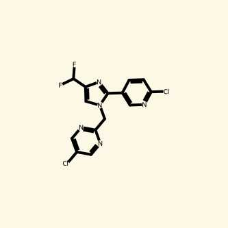 FC(F)c1cn(Cc2ncc(Cl)cn2)c(-c2ccc(Cl)nc2)n1